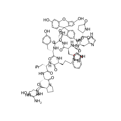 CC(C)C[C@H](NC(=O)[C@H](CCCn1cc(CNC(=O)c2ccc3c(c2)C(=O)OC32c3ccc(O)cc3Oc3cc(O)ccc32)nn1)NC(=O)[C@H](Cc1ccc(O)cc1)NC(=O)[C@H](CO)NC(=O)[C@H](Cc1c[nH]c2ccccc12)NC(=O)[C@H](Cc1c[nH]cn1)NC(=O)[C@@H]1CCC(=O)N1)C(=O)N[C@@H](CCCNC(=N)N)C(=O)N1CCC[C@H]1C(=O)NCC(=O)O